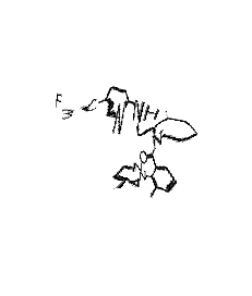 Cc1cccc(C(=O)N2CCC[C@@H](C)C2CNc2ccc(C(F)(F)F)cn2)c1-n1nccn1